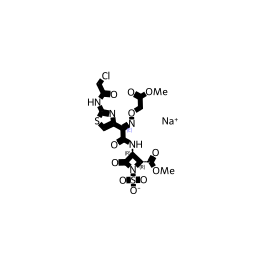 COC(=O)CO/N=C(/C(=O)N[C@H]1C(=O)N(S(=O)(=O)[O-])[C@H]1C(=O)OC)c1csc(NC(=O)CCl)n1.[Na+]